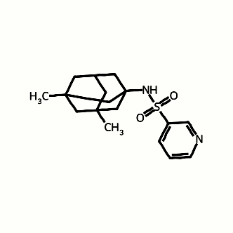 CC12CC3CC(C)(C1)CC(NS(=O)(=O)c1cccnc1)(C3)C2